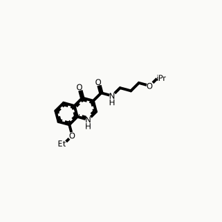 CCOc1cccc2c(=O)c(C(=O)NCCCOC(C)C)c[nH]c12